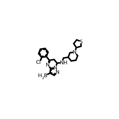 Bc1cnn2c1N=C(c1ccccc1Cl)CC2NCC1CCCN(C2CCSC2)C1